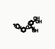 CN1CCN(c2cccc(OC/C(=N\O)c3cc(C(O)O)ccn3)c2)CC1